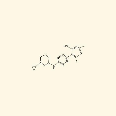 Cc1cc(C)c(-c2cnc(NC3CCCN(C4CC4)C3)nn2)c(O)c1